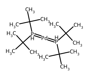 CC(C)(C)[PH](=[Pd]=[PH](C(C)(C)C)C(C)(C)C)C(C)(C)C